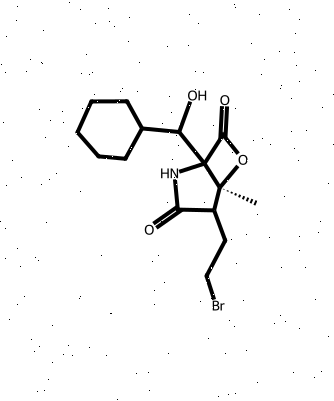 C[C@@]12OC(=O)C1(C(O)C1CCCCC1)NC(=O)C2CCBr